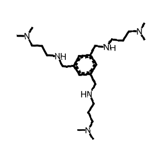 CN(C)CCCNCc1cc(CNCCCN(C)C)cc(CNCCCN(C)C)c1